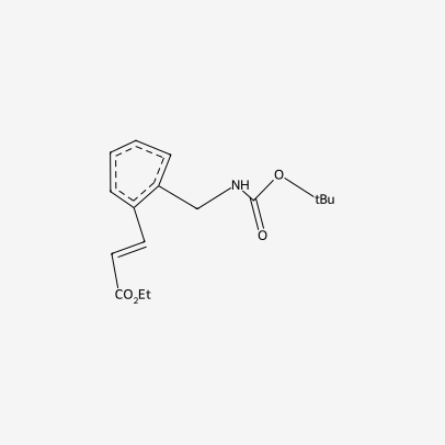 CCOC(=O)/C=C/c1ccccc1CNC(=O)OC(C)(C)C